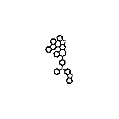 c1ccc(N(c2ccc(C3CCc4cc5oc6ccccc6c5c(-c5cc6ccccc6c6ccccc56)c4-c4ccccc43)cc2)c2ccc3sc4ccccc4c3c2)cc1